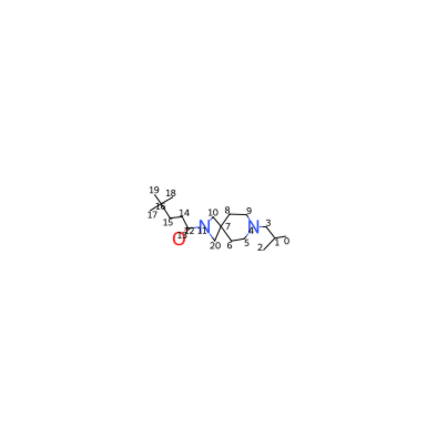 CC(C)CN1CCC2(CC1)CN(C(=O)CCC(C)(C)C)C2